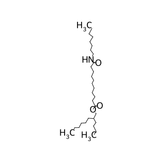 CCCCCCCCNC(=O)CCCCCCCCCC(=O)OCC(CCCC)CCCCCC